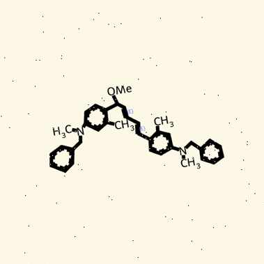 COC(/C=C/C=C/c1ccc(N(C)Cc2ccccc2)cc1C)c1ccc(N(C)Cc2ccccc2)cc1C